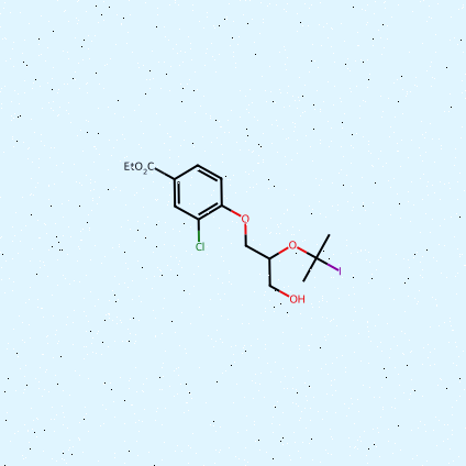 CCOC(=O)c1ccc(OCC(CO)OC(C)(C)I)c(Cl)c1